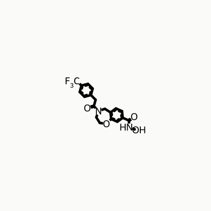 O=C(NO)c1ccc2c(c1)OCCN(C(=O)Cc1ccc(C(F)(F)F)cc1)C2